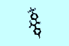 CC(=O)C(C(=O)c1ccc(S(C)(=O)=O)cc1)c1ccc(F)cc1